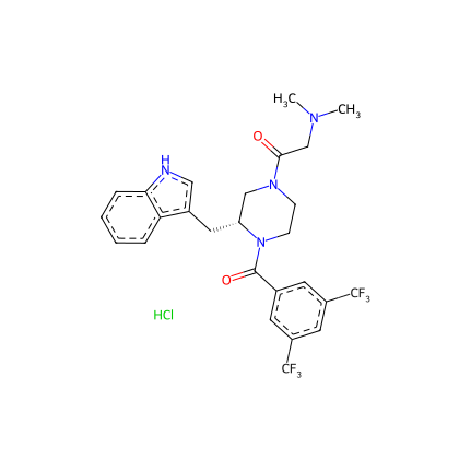 CN(C)CC(=O)N1CCN(C(=O)c2cc(C(F)(F)F)cc(C(F)(F)F)c2)[C@H](Cc2c[nH]c3ccccc23)C1.Cl